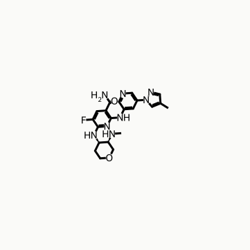 CN[C@H]1COCC[C@H]1Nc1nc(Nc2cncc(-n3cc(C)cn3)c2)c(C(N)=O)cc1F